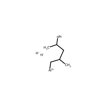 CCCC(C)CC(C)[CH2][Al+2].[H-].[H-]